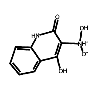 O=c1[nH]c2ccccc2c(O)c1[NH+]([O-])O